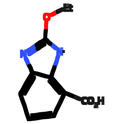 CCOC1=Nc2cccc(C(=O)O)c2[N]1